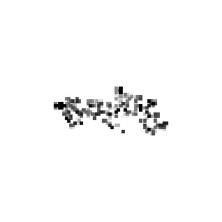 CC1(N2CC(CN)(n3cc(-c4ncnc5[nH]ccc45)cn3)C2)CCN(C(=O)c2cccc(F)c2)CC1